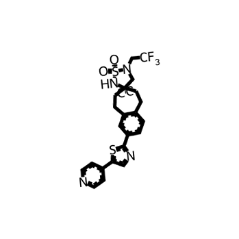 O=S1(=O)NC2(CN1CC(F)(F)F)C1CCC2Cc2cc(-c3ncc(-c4ccncc4)s3)ccc2C1